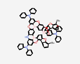 CC(C)(C)c1cccc2c1oc1ccc3c(c12)Oc1cc(N(c2ccccc2)c2ccccc2)cc2c1B3c1cc3c(cc1N2)Oc1cc(N(c2ccccc2)c2ccccc2)cc2c1B3c1cc3c(cc1O2)Oc1cc(N(c2ccccc2)c2ccccc2)cc2c1B3c1ccc3oc4c(C(C)(C)C)cccc4c3c1O2